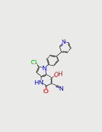 N#Cc1c(O)c2c(cc(Cl)n2-c2ccc(-c3cccnc3)cc2)[nH]c1=O